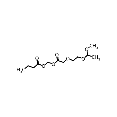 CCCC(=O)OCOC(=O)COCCOC(C)OC